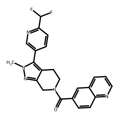 Cn1nc2c(c1-c1ccc(C(F)F)nc1)CCN(C(=O)c1ccc3ncccc3c1)C2